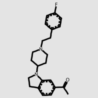 CC(=O)c1ccc2c(c1)N(C1CCN(CCc3ccc(F)cc3)CC1)CC2